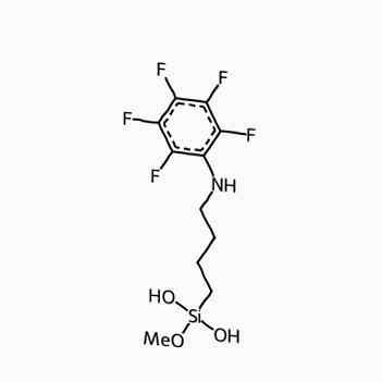 CO[Si](O)(O)CCCCNc1c(F)c(F)c(F)c(F)c1F